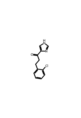 O=C(CCc1ccccc1Cl)c1c[nH]cn1